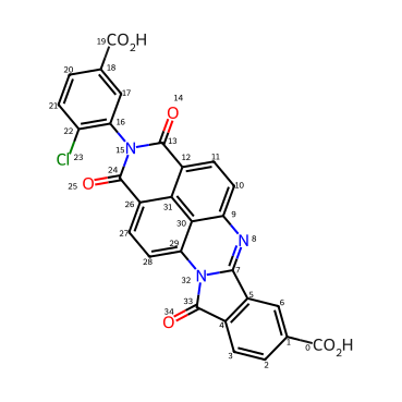 O=C(O)c1ccc2c(c1)-c1nc3ccc4c(=O)n(-c5cc(C(=O)O)ccc5Cl)c(=O)c5ccc(c3c45)n1C2=O